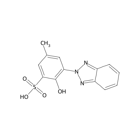 Cc1cc(-n2nc3ccccc3n2)c(O)c(S(=O)(=O)O)c1